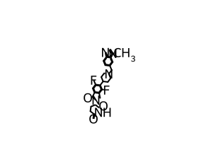 Cn1cnc2ccc(CN3CCC(c4c(F)cc5c(c4F)CN(C4CCC(=O)NC4=O)C5=O)CC3)cc21